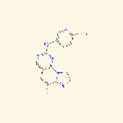 Cc1ccc(Nc2ncc3c(n2)N2CCN=C2C(Br)=C3)cn1